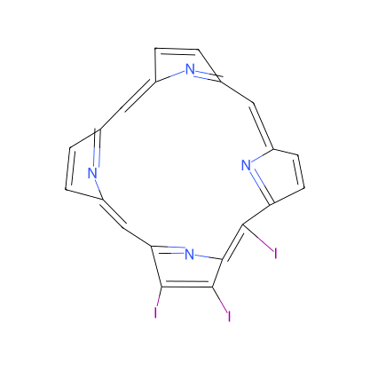 IC1=C(I)C2=C(I)C3=NC(=CC4=NC(=CC5=NC(=CC1=N2)C=C5)C=C4)C=C3